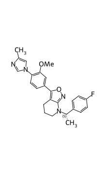 COc1cc(-c2onc3c2CCCN3[C@@H](C)c2ccc(F)cc2)ccc1-n1cnc(C)c1